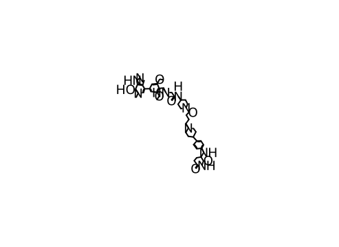 COc1cc(C2=CN(C)C(O)c3[nH]ncc32)cc(OC)c1CNCC(=O)NC1CCN(C(=O)CCCN2CCC(c3ccc(NC4CCC(=O)NC4=O)cc3)CC2)CC1